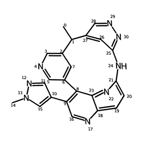 CC1c2cncc(c2)-c2c(-c3cnn(C)c3)cnc3ccc(nc23)Nc2cc1cnn2